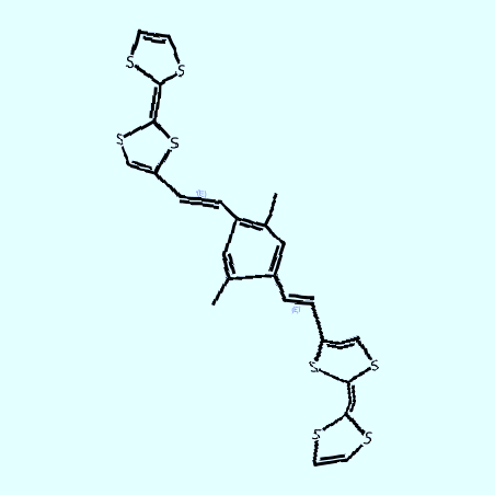 Cc1cc(/C=C/C2=CSC(=C3SC=CS3)S2)c(C)cc1/C=C/C1=CSC(=C2SC=CS2)S1